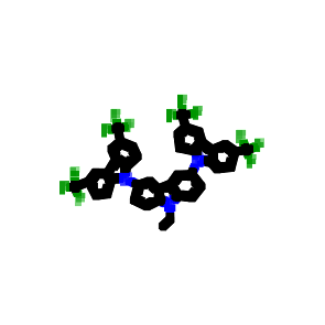 CCn1c2ccc(-n3c4ccc(C(F)(F)F)cc4c4cc(C(F)(F)F)ccc43)cc2c2cc(-n3c4ccc(C(F)(F)F)cc4c4cc(C(F)(F)F)ccc43)ccc21